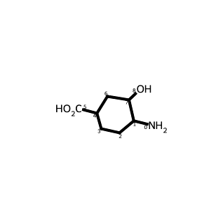 NC1CCC(C(=O)O)CC1O